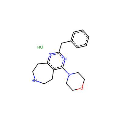 Cl.c1ccc(Cc2nc3c(c(N4CCOCC4)n2)CCNCC3)cc1